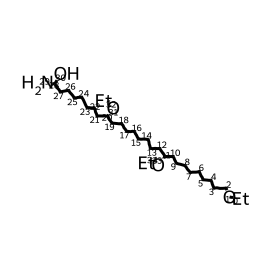 CCOCCCCCCCCCC(CCCCCCCCC(CCCCCCCC(N)O)OCC)OCC